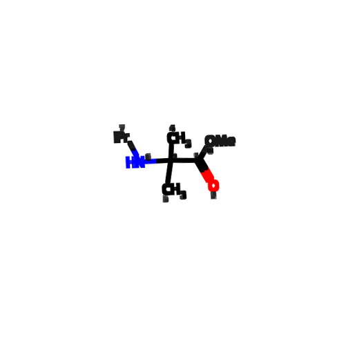 COC(=O)C(C)(C)NC(C)C